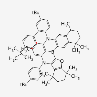 Cc1cc2c3c(c1)N(c1ccc(C(C)(C)C)cc1)c1c(oc4c1C(C)(C)CCC4(C)C)B3c1cc3c(cc1N2c1ccc(C(C)(C)C)cc1-c1ccc(S(C)(C)C)cc1)C(C)CCC3(C)C